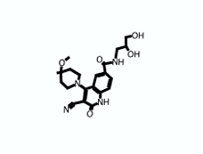 COC1(C)CCN(c2c(C#N)c(=O)[nH]c3ccc(C(=O)NCC(O)CO)cc23)CC1